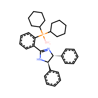 [BH3-][P+](c1ccccc1C1=N[C@H](c2ccccc2)[C@@H](c2ccccc2)N1)(C1CCCCC1)C1CCCCC1